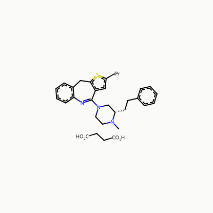 CC(C)c1cc2c(s1)Cc1ccccc1N=C2N1CCN(C)[C@@H](CCc2ccccc2)C1.O=C(O)CCC(=O)O